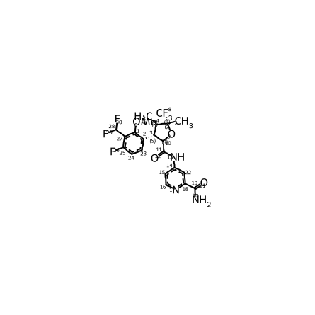 COc1c([C@@H]2[C@@H](C)[C@](C)(C(F)(F)F)O[C@H]2C(=O)Nc2ccnc(C(N)=O)c2)ccc(F)c1C(F)F